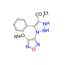 CCOC(=O)C1=C(c2ccccc2)N(c2nonc2OC)NN1